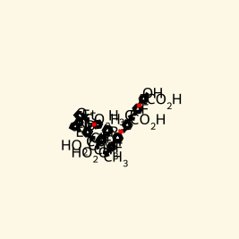 CC(C(=O)O)c1ccc(-c2ccccc2)c(F)c1.CC(C(=O)O)c1ccc(-c2ccccc2)c(F)c1.CC(C(=O)O)c1cccc(Oc2ccccc2)c1.CC(C)Cc1ccc(C(C)C(=O)O)cc1.CCc1cccc2c3c([nH]c12)C(CC)(CC(=O)O)OCC3.O=C(O)c1cc(-c2ccc(F)cc2F)ccc1O